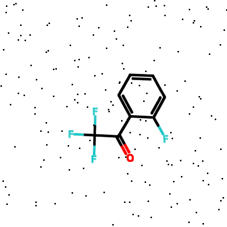 O=C(c1ccccc1F)C(F)(F)F